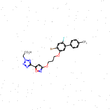 O=C(O)Cn1nnc(-c2cc(OCCCOc3cc(-c4ccc(C(F)(F)F)cc4)c(F)cc3Br)no2)n1